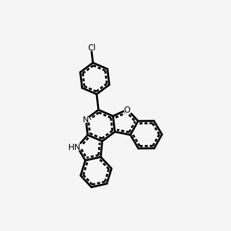 Clc1ccc(-c2nc3[nH]c4ccccc4c3c3c2oc2ccccc23)cc1